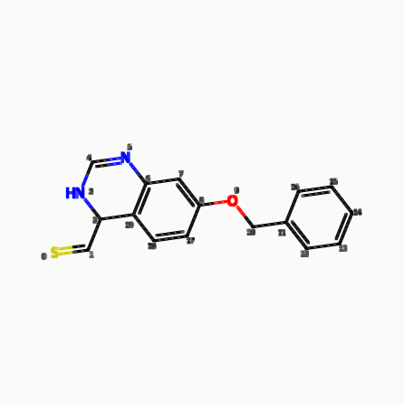 S=CC1NC=Nc2cc(OCc3ccccc3)ccc21